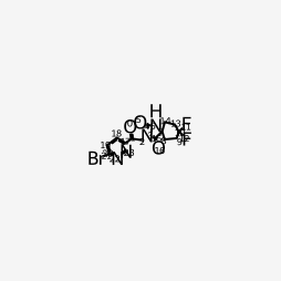 O=C(CN1C(=O)NC2(CCC(F)(F)CC2)C1=O)c1ccc(Br)nn1